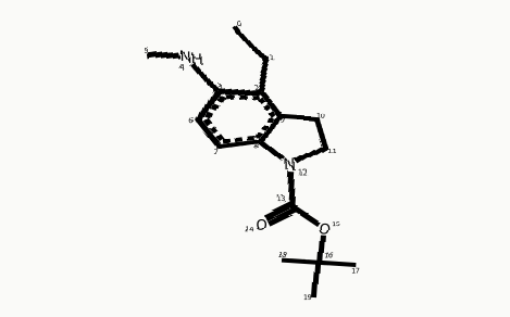 CCc1c(NC)ccc2c1CCN2C(=O)OC(C)(C)C